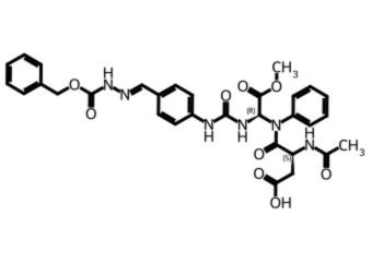 COC(=O)[C@H](NC(=O)Nc1ccc(C=NNC(=O)OCc2ccccc2)cc1)N(C(=O)[C@H](CC(=O)O)NC(C)=O)c1ccccc1